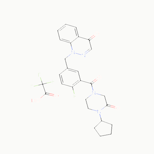 O=C(O)C(F)(F)F.O=C(c1cc(Cn2ncc(=O)c3ccccc32)ccc1F)N1CCN(C2CCCC2)C(=O)C1